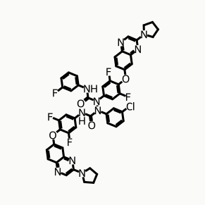 O=C(Nc1cc(F)c(Oc2ccc3ncc(N4CCCC4)nc3c2)c(F)c1)N(c1cccc(Cl)c1)N(C(=O)Nc1cccc(F)c1)c1cc(F)c(Oc2ccc3ncc(N4CCCC4)nc3c2)c(F)c1